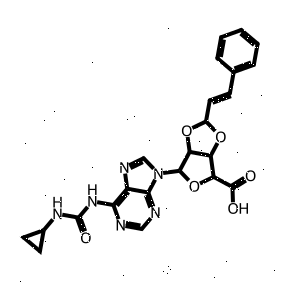 O=C(Nc1ncnc2c1ncn2C1OC(C(=O)O)C2OC(/C=C/c3ccccc3)OC21)NC1CC1